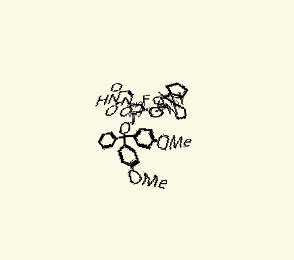 COc1ccc(C(OC[C@H]2O[C@@H](n3ccc(=O)[nH]c3=O)[C@H](F)[C@@H]2O[P@@]2O[C@](C)(C3CCCC3)[C@@H]3CCCN32)(c2ccccc2)c2ccc(OC)cc2)cc1